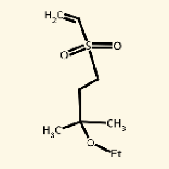 C=CS(=O)(=O)CCC(C)(C)OCC